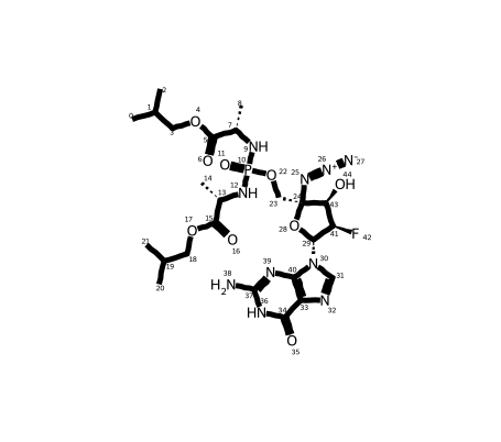 CC(C)COC(=O)[C@H](C)NP(=O)(N[C@@H](C)C(=O)OCC(C)C)OC[C@@]1(N=[N+]=[N-])O[C@@H](n2cnc3c(=O)[nH]c(N)nc32)[C@H](F)[C@@H]1O